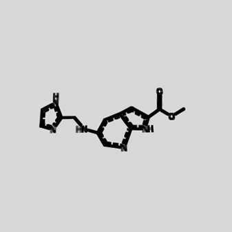 COC(=O)c1cc2cc(NCc3ncc[nH]3)cnc2[nH]1